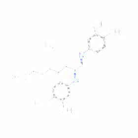 CCCCCCC(/C=N/c1ccc(C)c(C)c1)=N\c1ccc(C)c(C)c1.[Pd]